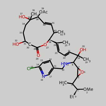 CC[C@H](OC)C(C)C1OC1C(NCc1ccc(Cl)nc1)C(C)(O)/C=C/C=C(\C)[C@H]1OC(=O)CC(O)CCC(C)(O)[C@@H](OC(C)=O)/C=C/C1C